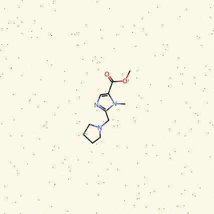 COC(=O)c1cnc(CN2CCCC2)n1C